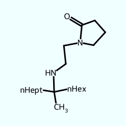 CCCCCCCC(C)(CCCCCC)NCCN1CCCC1=O